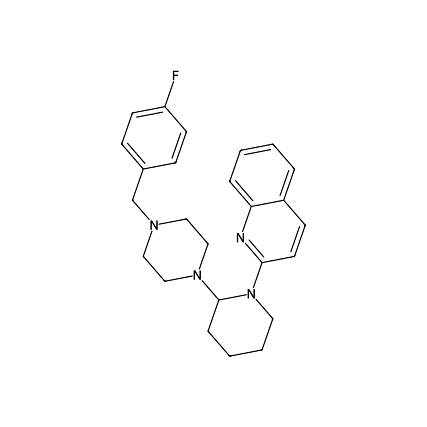 Fc1ccc(CN2CCN(C3CCCCN3c3ccc4ccccc4n3)CC2)cc1